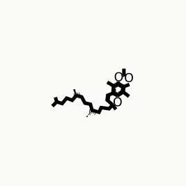 CC(=O)Oc1c(C)c(C)c2c(c1C)C=CC(C)(CCC[C@H](C)CCC[C@H](C)CCCC(C)C)O2